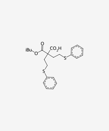 CCC(C)OC(=O)C(CCSc1ccccc1)(CCSc1ccccc1)C(=O)O